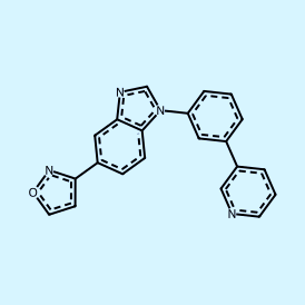 c1cncc(-c2cccc(-n3cnc4cc(-c5ccon5)ccc43)c2)c1